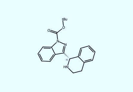 CC(C)(C)OC(=O)n1nc([C@H]2NCCc3ccccc32)c2ccccc21